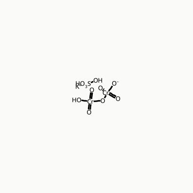 O=S(=O)(O)O.[K+].[O]=[Cr](=[O])([O-])[O][Cr](=[O])(=[O])[OH]